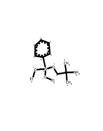 CCO[Si](OCC)(OCC(C)(C)N)c1ccccc1